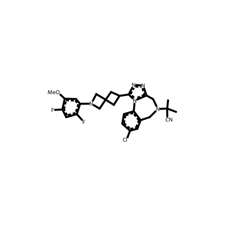 COc1cc(N2CC3(CC(c4nnc5n4-c4ccc(Cl)cc4CN(C(C)(C)C#N)C5)C3)C2)c(F)cc1F